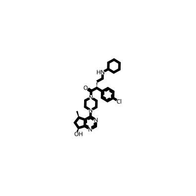 C[C@@H]1C[C@H](O)c2ncnc(N3CCN(C(=O)[C@H](CCNC4CCCCC4)c4ccc(Cl)cc4)CC3)c21